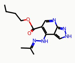 CCCCOC(=O)c1cnc2n[nH]cc2c1NN=C(C)C